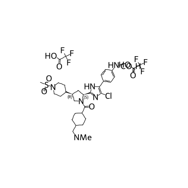 CNCC1CCC(C(=O)N2C[C@@H](C3CCN(S(C)(=O)=O)CC3)C[C@H]2c2nc(Cl)c(-c3ccc(NC(=O)O)cc3)[nH]2)CC1.O=C(O)C(F)(F)F.O=C(O)C(F)(F)F